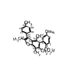 COc1ccc(C(=O)O)c(-c2c(C)c(C)c3oc(C)c(-c4ccc(C)cc4)c3c2C)c1